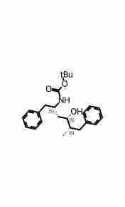 C[C@@H](Cc1ccccc1)[C@@H](O)C[C@H](Cc1ccccc1)NC(=O)OC(C)(C)C